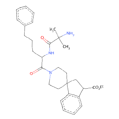 CCOC(=O)C1CC2(CCN(C(=O)C(CCCc3ccccc3)NC(=O)C(C)(C)N)CC2)c2ccccc21